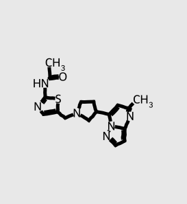 CC(=O)Nc1ncc(CN2CCC(c3cc(C)nc4ccnn34)C2)s1